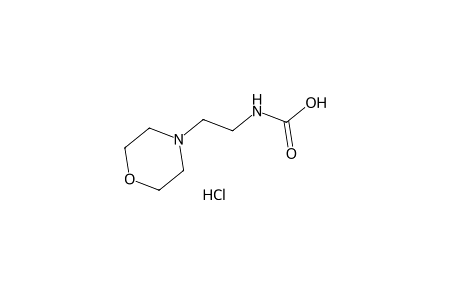 Cl.O=C(O)NCCN1CCOCC1